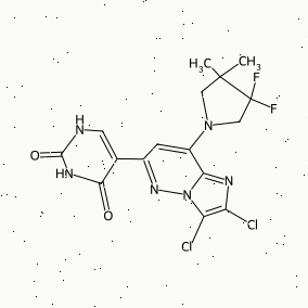 CC1(C)CN(c2cc(-c3c[nH]c(=O)[nH]c3=O)nn3c(Cl)c(Cl)nc23)CC1(F)F